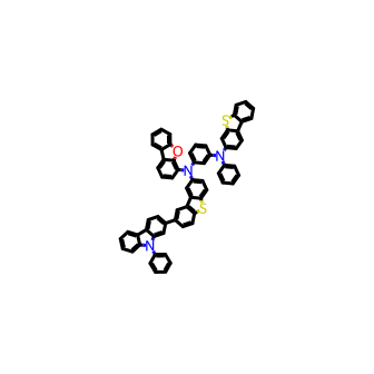 c1ccc(N(c2cccc(N(c3ccc4sc5ccc(-c6ccc7c8ccccc8n(-c8ccccc8)c7c6)cc5c4c3)c3cccc4c3oc3ccccc34)c2)c2ccc3c(c2)sc2ccccc23)cc1